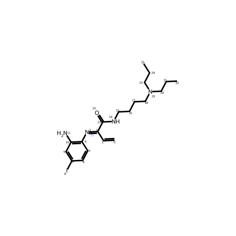 C=C/C(=N\c1ccc(I)cc1N)C(=O)NCCCCN(CCC)CCC